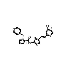 Cc1ccnc(C=Cc2csc(NC(=O)c3cccn3Cc3ccncc3)n2)c1